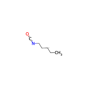 CC[CH]CCN=C=O